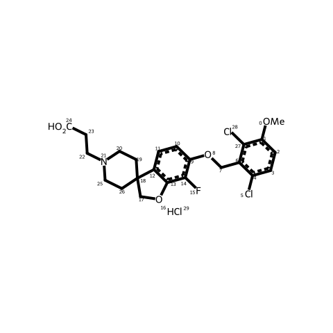 COc1ccc(Cl)c(COc2ccc3c(c2F)OCC32CCN(CCC(=O)O)CC2)c1Cl.Cl